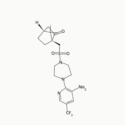 CC1(C)[C@@H]2CC[C@@]1(CS(=O)(=O)N1CCN(c3ncc(C(F)(F)F)cc3N)CC1)C(=O)C2